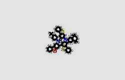 CC(C)(C)c1ccc(N2B3c4cc5c(cc4-n4c6cc7c(cc6c6c8c(sc9ccccc98)c(c3c64)-c3cc4oc6ccccc6c4cc32)C(C)(C)CCC7(C)C)sc2ccccc25)cc1